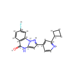 O=c1[nH]c2cc(-c3ccnc(C4CCC4)c3)nn2c2cc(F)ccc12